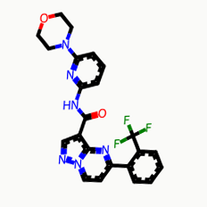 O=C(Nc1cccc(N2CCOCC2)n1)c1cnn2ccc(-c3ccccc3C(F)(F)F)nc12